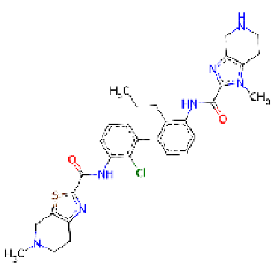 CCCc1c(NC(=O)c2nc3c(n2C)CCNC3)cccc1-c1cccc(NC(=O)c2nc3c(s2)CN(C)CC3)c1Cl